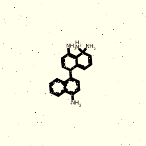 NC1=C2C(=CC=CC2(N)N)C(c2ccc(N)c3ccccc23)C=C1